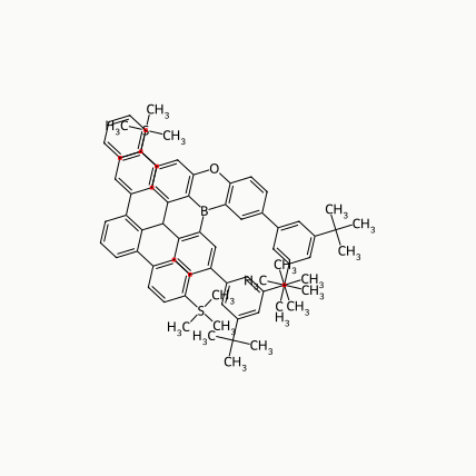 CC(C)(C)c1cc(-c2ccc3c(c2)B2c4cc(-c5cc(C(C)(C)C)cc(C(C)(C)C)c5)ccc4C(c4c(-c5ccc(S(C)(C)C)cc5)cccc4-c4ccc(S(C)(C)C)cc4)c4cc(-c5ccccc5)cc(c42)O3)cc(C(C)(C)C)c1